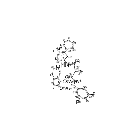 COc1ccc2c(c1OC)CN(C(=O)C(Cc1c[nH]c3ccccc13)NC(=O)C(C)C(=O)NCc1cc(F)cc(F)c1)CC2